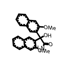 COc1cc2ccccc2cc1C(O)(C(N)=O)c1cc2ccccc2cc1OC